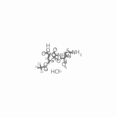 CO/N=C(\C(=O)NC1C(=O)N2C(C(=O)O)=CC(COC(=O)C(C)(C)C)S[C@H]12)c1csc(N)n1.Cl